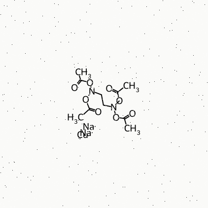 CC(=O)ON(CCN(OC(C)=O)OC(C)=O)OC(C)=O.[Cu].[Na].[Na]